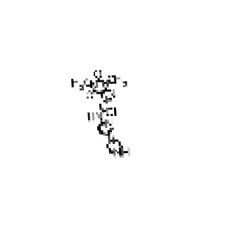 Cn1c(=O)c2c(ncn2CC(O)Nc2ccc(N3CCNCC3)cn2)n(C)c1=O